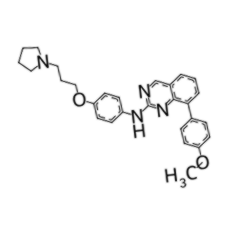 COc1ccc(-c2cccc3cnc(Nc4ccc(OCCCN5CCCC5)cc4)nc23)cc1